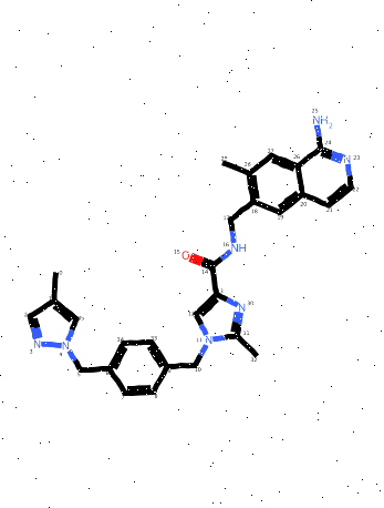 Cc1cnn(Cc2ccc(Cn3cc(C(=O)NCc4cc5ccnc(N)c5cc4C)nc3C)cc2)c1